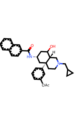 CC(=O)Oc1cccc([C@@]23CCN(CC4CC4)C[C@H]2C(O)C[C@@H](NC(=O)c2ccc4ccccc4c2)C3)c1